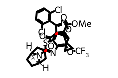 COC(=O)c1cc(OC(F)(F)F)c2nc(N3[C@@H]4CC[C@H]3C[C@H](OC(=O)c3c(-c5c(Cl)cccc5Cl)noc3C3CC3)C4)sc2c1